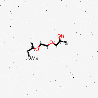 COCC(C)OCCOCC(C)O